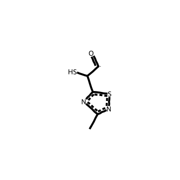 Cc1nsc(C(S)[C]=O)n1